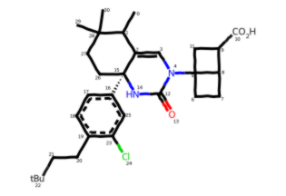 CC1C2=CN(C34CCC3C(C(=O)O)C4)C(=O)N[C@@]2(c2ccc(CCC(C)(C)C)c(Cl)c2)CCC1(C)C